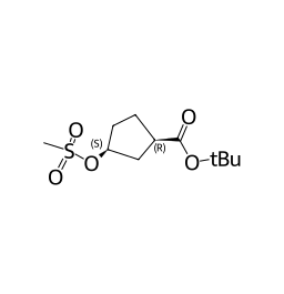 CC(C)(C)OC(=O)[C@@H]1CC[C@H](OS(C)(=O)=O)C1